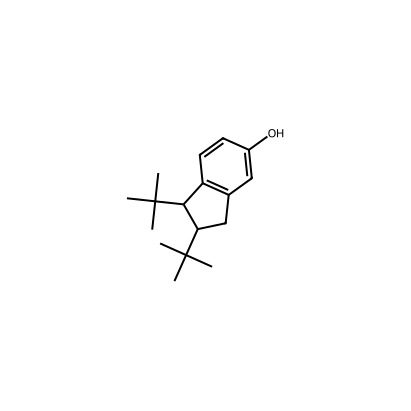 CC(C)(C)C1Cc2cc(O)ccc2C1C(C)(C)C